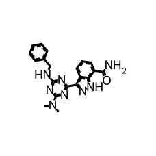 CN(C)c1nc(NCc2ccccc2)nc(-c2n[nH]c3c(C(N)=O)cccc23)n1